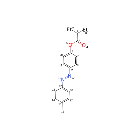 CCC(CC)C(=O)Oc1ccc(/N=N/c2ccc(C)cc2)cc1